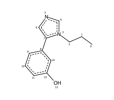 CCCn1cncc1-c1cccc(O)c1